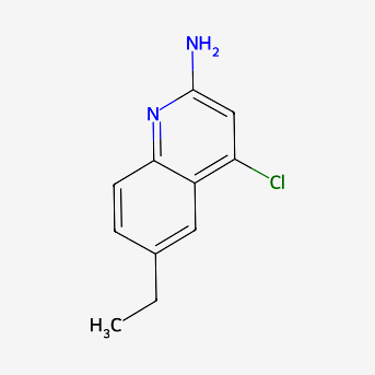 CCc1ccc2nc(N)cc(Cl)c2c1